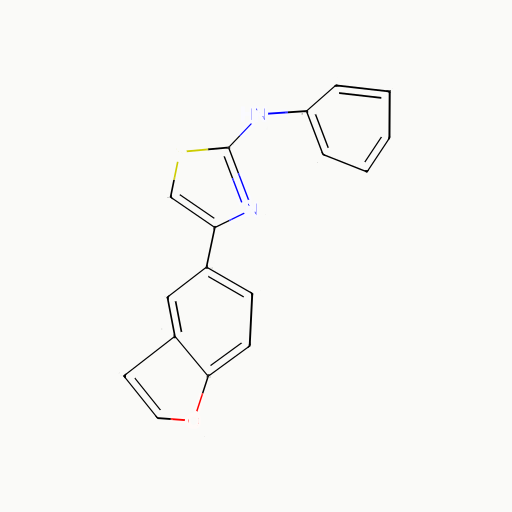 c1ccc(Nc2nc(-c3ccc4occc4c3)cs2)cc1